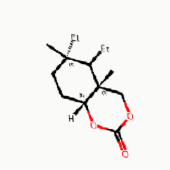 CCC1[C@@](C)(CC)CC[C@H]2OC(=O)OC[C@@]12C